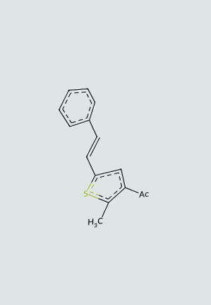 CC(=O)c1cc(/C=C/c2ccccc2)sc1C